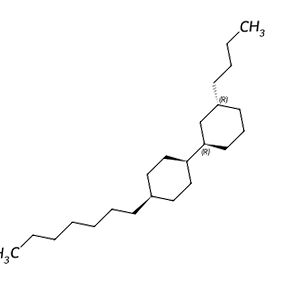 CCCCCCC[C@H]1CC[C@@H]([C@@H]2CCC[C@@H](CCCC)C2)CC1